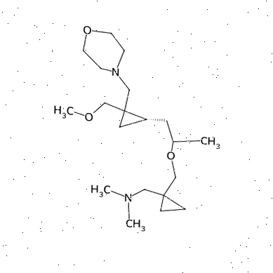 COCC1(CN2CCOCC2)C[C@H]1CC(C)OCC1(CN(C)C)CC1